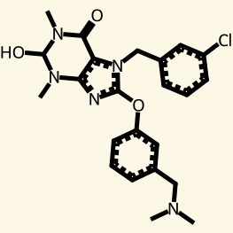 CN(C)Cc1cccc(Oc2nc3c(n2Cc2cccc(Cl)c2)C(=O)N(C)C(O)N3C)c1